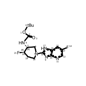 CC(C)(C)OC(=O)N[C@@H]1CN(c2nc3ncc(F)cc3[nH]2)CC[C@H]1F